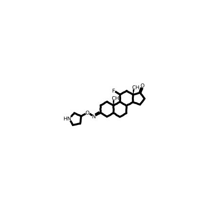 C[C@]12CCC(=NOC3CCNC3)CC1CCC1C2C(F)C[C@]2(C)C(=O)CCC12